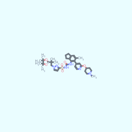 Cc1cc2c(c(NC(=O)NS(=O)(=O)c3ccn(CC(C)(C)B4OC(C)(C)C(C)(C)O4)n3)c1-c1ccnc(OC3CCN(C)CC3)c1)CCC2